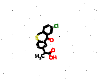 CC(C(=O)O)c1ccc2c(c1)C(=O)c1cc(Cl)ccc1CS2